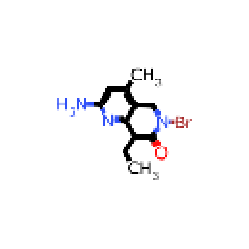 CCC1C(=O)N(Br)Cc2c(C)cc(N)nc21